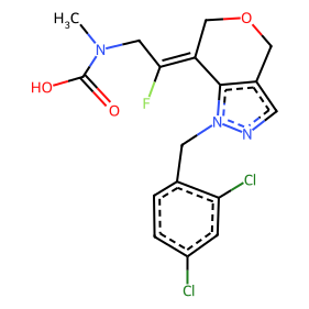 CN(CC(F)=C1COCc2cnn(Cc3ccc(Cl)cc3Cl)c21)C(=O)O